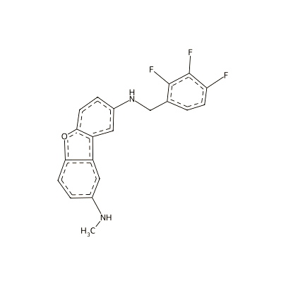 CNc1ccc2oc3ccc(NCc4ccc(F)c(F)c4F)cc3c2c1